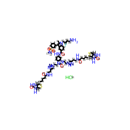 Cc1c(-c2cccc(S(=O)(=O)N(C)C)c2)c2cc(C(=O)Nc3ccc4c(c3)n(CCn3cc(CCNC(=O)CCCC[C@@H]5SC[C@@H]6NC(=O)N[C@@H]65)nn3)c(=O)n4CCn3cc(CCNC(=O)CCCC[C@@H]4SC[C@@H]5NC(=O)N[C@@H]54)nn3)ccc2n1C/C(F)=C/CN.Cl